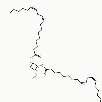 CCCCC/C=C\C/C=C\CCCCCCCC(=O)O[C@@H]1[C@H](CC)C[C@@H]1OC(=O)CCCCCCC/C=C\C/C=C\CCCCC